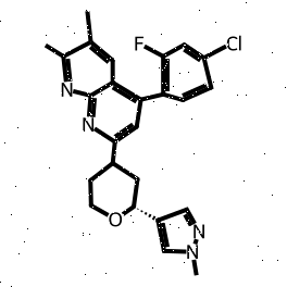 Cc1cc2c(-c3ccc(Cl)cc3F)cc(C3CCO[C@@H](c4cnn(C)c4)C3)nc2nc1C